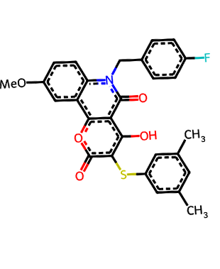 COc1ccc2c(c1)c1oc(=O)c(Sc3cc(C)cc(C)c3)c(O)c1c(=O)n2Cc1ccc(F)cc1